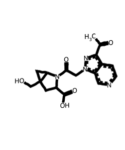 CC(=O)c1nn(CC(=O)N2C(C(=O)O)CC3(CO)CC23)c2cnccc12